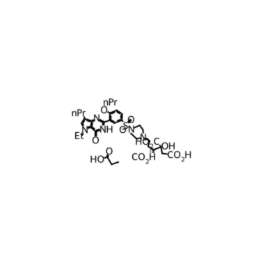 CCC(=O)O.CCCOc1ccc(S(=O)(=O)N2CCN(CC[C@H](C(=O)O)C(O)(CC(=O)O)C(=O)O)CC2)cc1-c1nc2c(CCC)cn(CC)c2c(=O)[nH]1